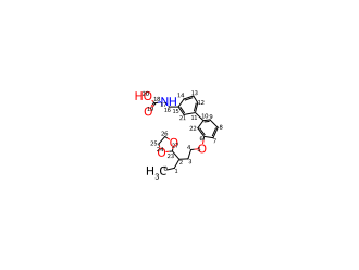 CCC(CCOc1cccc(-c2cccc(CNC(=O)O)c2)c1)C1OCCO1